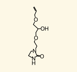 C=CCOCC(O)COCCN1CCNC1=O